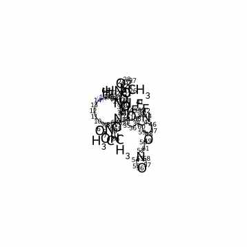 CC(C)CN(C(=O)O)[C@H]1CCCCC/C=C\[C@@H]2C[C@@]2(C(=O)NS(=O)(=O)C2(C)CC2)NC(=O)[C@@H]2C[C@]3(CCc4c(c(C(F)(F)F)nc5ccc(OCCCN6CCOCC6)cc45)O3)CN2C1=O